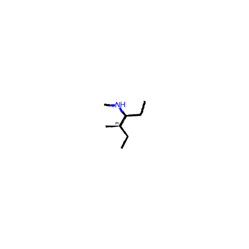 CCC(NC)[C@H](C)CC